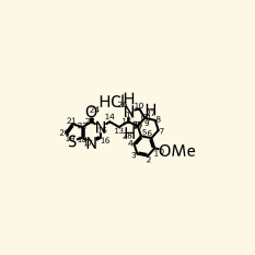 COc1cccc2c1CC[C@H]1CNC(CCn3cnc4sccc4c3=O)[C@@H]21.Cl